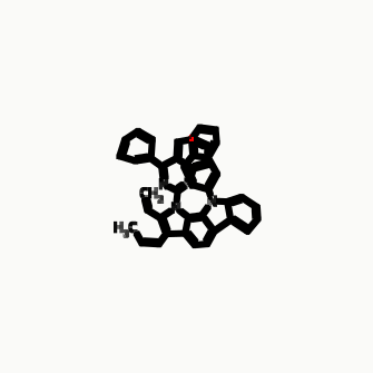 C=Cc1c(/C=C\C)c2ccc3c4ccccc4n(-c4ccc5ccccc5c4)c3c2n1-c1nc(-c2ccccc2)c2ccccc2n1